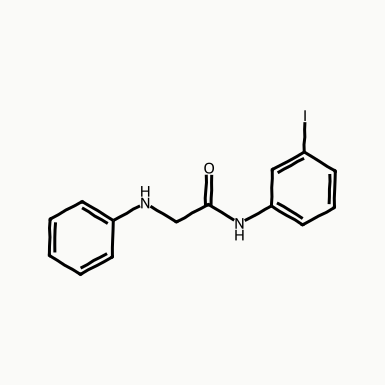 O=C(CNc1ccccc1)Nc1cccc(I)c1